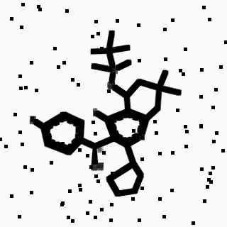 CC1(C)Cc2nc(C3CCCC3)c([C@@H](O)c3ccc(F)cc3)c(I)c2C(O[Si](C)(C)C(C)(C)C)C1